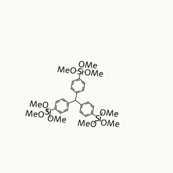 CO[Si](OC)(OC)c1ccc(C(c2ccc([Si](OC)(OC)OC)cc2)c2ccc([Si](OC)(OC)OC)cc2)cc1